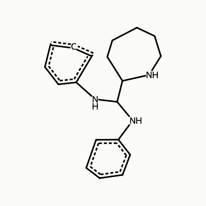 c1ccc(NC(Nc2ccccc2)C2CCCCCN2)cc1